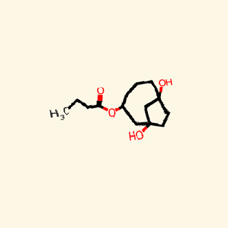 CCCC(=O)OC1CCCC2(O)CCC(O)(C1)C2